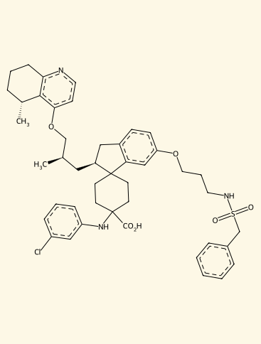 C[C@@H](COc1ccnc2c1[C@H](C)CCC2)C[C@H]1Cc2ccc(OCCCNS(=O)(=O)Cc3ccccc3)cc2C12CCC(Nc1cccc(Cl)c1)(C(=O)O)CC2